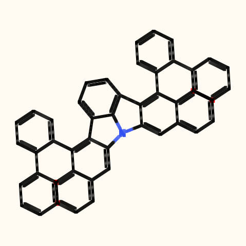 c1ccc(-c2ccccc2-c2c3ccccc3cc3c2c2cccc4c5c(-c6ccccc6-c6ccccc6)c6ccccc6cc5n3c24)cc1